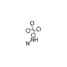 CN(C)CCNc1ccc(C(=C(CCCl)c2ccccc2)c2ccccc2)cc1